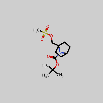 CC(C)(C)OC(=O)N1C2CCC1(COS(C)(=O)=O)CC2